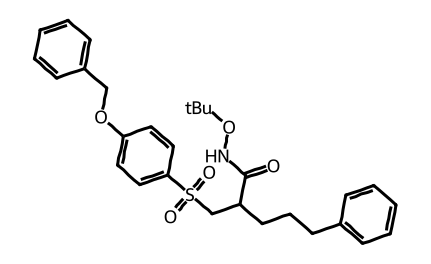 CC(C)(C)ONC(=O)C(CCCc1ccccc1)CS(=O)(=O)c1ccc(OCc2ccccc2)cc1